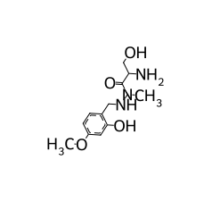 COc1ccc(CNN(C)C(=O)C(N)CO)c(O)c1